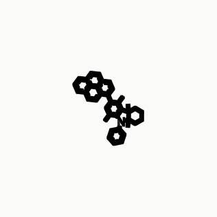 Cc1cc(-c2ccc3ccc4cccc5ccc2c3c45)c(C)c2c1N(c1ccccc1)C1(C)CCCCC21C